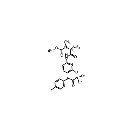 CCC1(CC)Oc2nc(NC(=O)[C@H](C)N(C)C(=O)OC(C)(C)C)ccc2N(c2ccc(Cl)cc2)C1=O